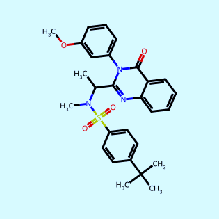 COc1cccc(-n2c(C(C)N(C)S(=O)(=O)c3ccc(C(C)(C)C)cc3)nc3ccccc3c2=O)c1